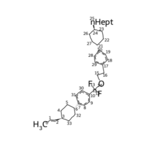 C/C=C/[C@H]1CC[C@H](c2ccc(C(F)(F)OCCc3ccc([C@H]4CC[C@H](CCCCCCC)CC4)cc3)cc2)CC1